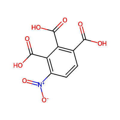 O=C(O)c1ccc([N+](=O)[O-])c(C(=O)O)c1C(=O)O